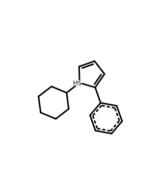 C1=C[SH](C2CCCCC2)C(c2ccccc2)=C1